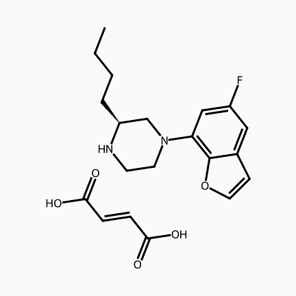 CCCC[C@H]1CN(c2cc(F)cc3ccoc23)CCN1.O=C(O)C=CC(=O)O